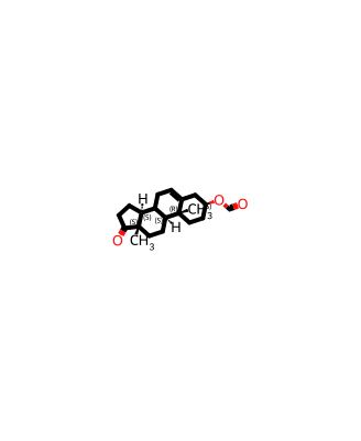 C[C@]12CC[C@H](OC=O)CC1=CCC1[C@@H]2CC[C@]2(C)C(=O)CC[C@@H]12